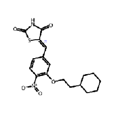 O=C1NC(=O)/C(=C/c2ccc([N+](=O)[O-])c(OCCC3CCCCC3)c2)S1